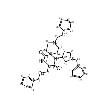 O=C1C(COCc2ccccc2)NC(=O)C2(CCN(CCc3ccccc3)CC2)N1C1CCN(Cc2ccccc2)C1